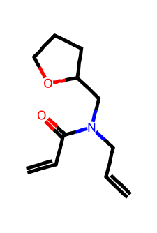 C=CCN(CC1CCCO1)C(=O)C=C